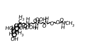 CCNC(=O)COCCOCCNC(=O)CC[C@H](NC(=O)CC[C@H](NC(=O)CC[C@@H](C)[C@H]1CC[C@H]2[C@@H]3[C@H](O)C[C@@H]4C[C@H](O)CC[C@]4(C)[C@H]3C[C@H](O)[C@]12C)C(=O)O)C(=O)O